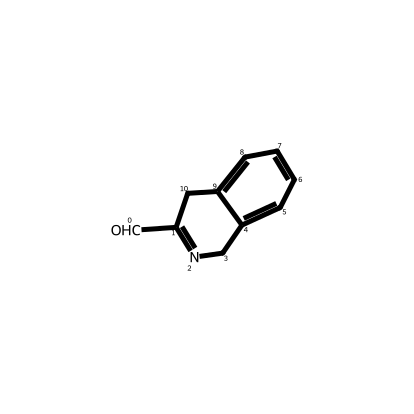 O=CC1=NCc2ccccc2C1